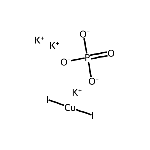 O=P([O-])([O-])[O-].[I][Cu][I].[K+].[K+].[K+]